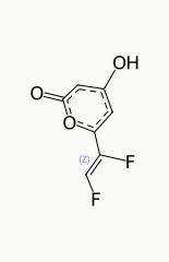 O=c1cc(O)cc(/C(F)=C/F)o1